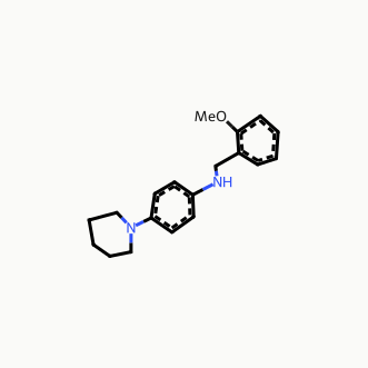 COc1ccccc1CNc1ccc(N2CCCCC2)cc1